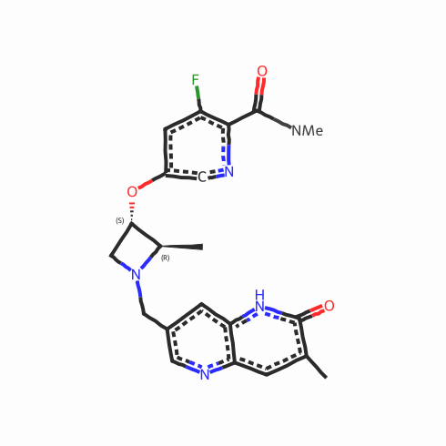 CNC(=O)c1ncc(O[C@H]2CN(Cc3cnc4cc(C)c(=O)[nH]c4c3)[C@@H]2C)cc1F